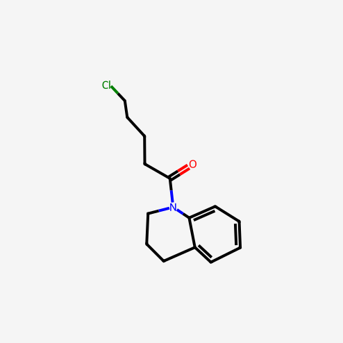 O=C(CCCCCl)N1CCCc2ccccc21